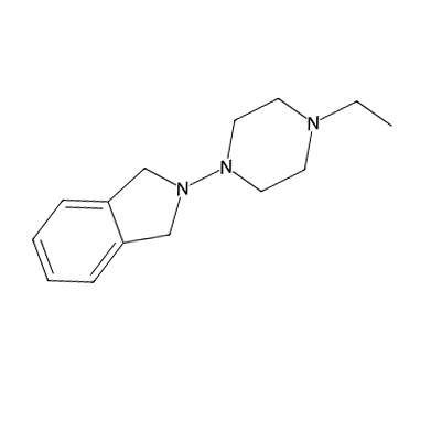 CCN1CCN(N2Cc3ccccc3C2)CC1